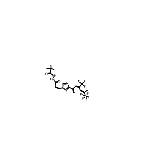 C=C(/C=C(\C=C(/C)S(F)(F)(F)(F)F)C(F)(F)F)c1ncn(/C=C\C(=O)NNC(=O)C(C)(C)C)n1